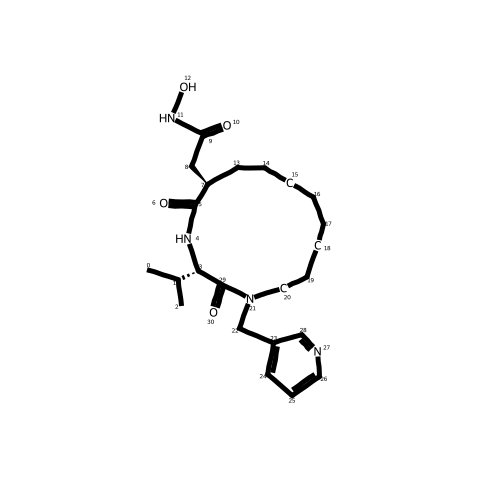 CC(C)[C@@H]1NC(=O)[C@@H](CC(=O)NO)CCCCCCCCN(Cc2cccnc2)C1=O